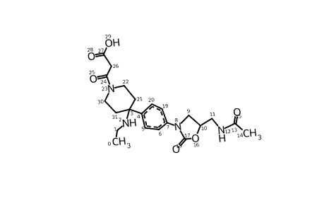 CCNC1(c2ccc(N3CC(CNC(C)=O)OC3=O)cc2)CCN(C(=O)CC(=O)O)CC1